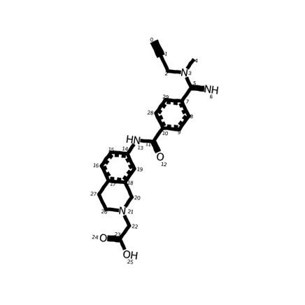 C#CCN(C)C(=N)c1ccc(C(=O)Nc2ccc3c(c2)CN(CC(=O)O)CC3)cc1